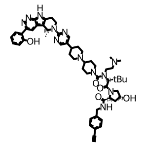 C#Cc1ccc(CNC(=O)[C@@H]2C[C@@H](O)CN2C(=O)[C@@H](N(CCN(C)C)C(=O)N2CCC(N3CCC(c4cnc(N5CCc6[nH]c7nnc(-c8ccccc8O)cc7c6[C@H]5C)nc4)CC3)CC2)C(C)(C)C)cc1